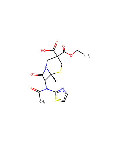 CCOC(=O)C1(C(=O)O)CS[C@@H]2C(N(C(C)=O)c3nccs3)C(=O)N2C1